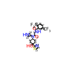 O=C(NCC(=O)N(C1CCC(O)(c2nccs2)CC1)C1CNC1)c1cc(C(F)(F)F)ccc1C(F)(F)F